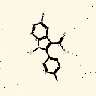 Cn1c(-c2ccc(F)cc2)c(C(N)=O)c2cc(Br)ccc21